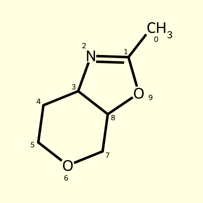 CC1=NC2CCOCC2O1